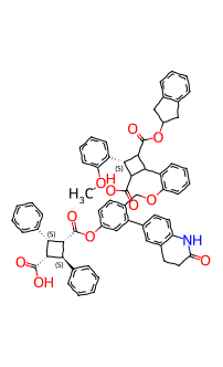 COc1ccccc1[C@H]1C(C(=O)O)C(c2ccccc2OCc2ccc(OC(=O)[C@H]3[C@@H](c4ccccc4)[C@@H](C(=O)O)[C@@H]3c3ccccc3)cc2-c2ccc3c(c2)CCC(=O)N3)C1C(=O)OC1Cc2ccccc2C1